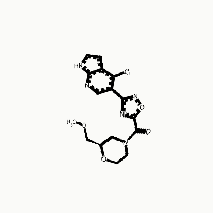 COC[C@H]1CN(C(=O)c2nc(-c3cnc4[nH]ccc4c3Cl)no2)CCO1